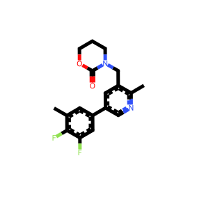 Cc1cc(-c2cnc(C)c(CN3CCCOC3=O)c2)cc(F)c1F